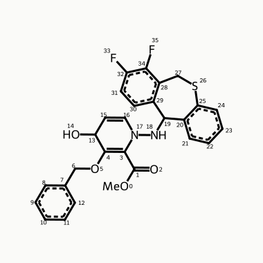 COC(=O)C1=C(OCc2ccccc2)C(O)C=CN1NC1c2ccccc2SCc2c1ccc(F)c2F